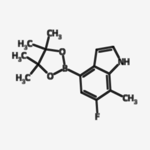 Cc1c(F)cc(B2OC(C)(C)C(C)(C)O2)c2cc[nH]c12